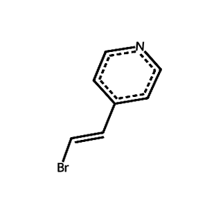 BrC=Cc1ccncc1